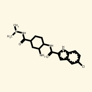 CN(C)NC(=O)C1CCC(NC(=O)c2cc3cc(Cl)ccc3[nH]2)C(N)C1